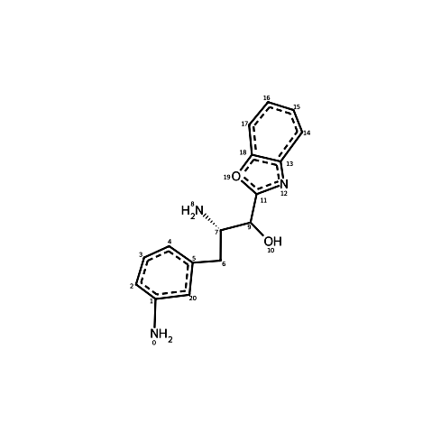 Nc1cccc(C[C@H](N)C(O)c2nc3ccccc3o2)c1